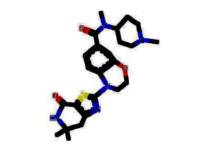 CN1CCC(N(C)C(=O)c2ccc3c(c2)OCCN3c2nc3c(s2)C(=O)NC(C)(C)C3)CC1